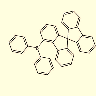 c1ccc(B(c2ccccc2)c2cccc3c2-c2ccccc2C32c3ccccc3-c3ccccc32)cc1